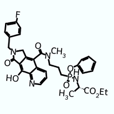 CCOC(=O)[C@H](C)NP(=O)(CCCN(C)C(=O)c1c2c(c(O)c3ncccc13)C(=O)N(Cc1ccc(F)cc1)C2)Oc1ccccc1